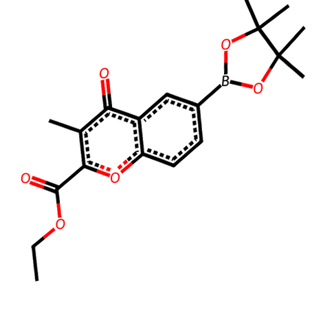 CCOC(=O)c1oc2ccc(B3OC(C)(C)C(C)(C)O3)cc2c(=O)c1C